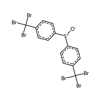 [O-][S+](c1ccc(C(Br)(Br)Br)cc1)c1ccc(C(Br)(Br)Br)cc1